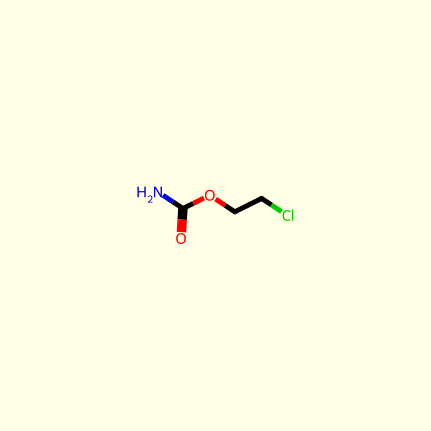 NC(=O)OCCCl